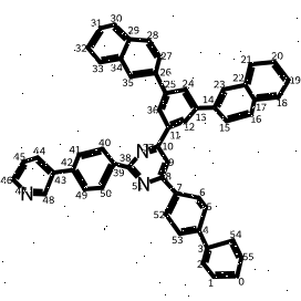 c1ccc(-c2ccc(-c3cc(-c4cc(-c5ccc6ccccc6c5)cc(-c5ccc6ccccc6c5)c4)nc(-c4ccc(-c5cccnc5)cc4)n3)cc2)cc1